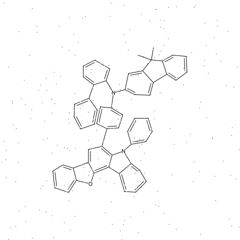 CC1(C)c2ccccc2-c2ccc(N(c3ccc(-c4cc5c6ccccc6oc5c5c6ccccc6n(-c6ccccc6)c45)cc3)c3ccccc3-c3ccccc3)cc21